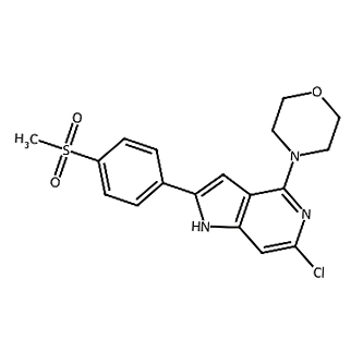 CS(=O)(=O)c1ccc(-c2cc3c(N4CCOCC4)nc(Cl)cc3[nH]2)cc1